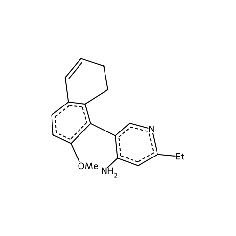 CCc1cc(N)c(-c2c(OC)ccc3c2CCC=C3)cn1